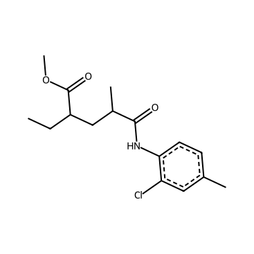 CCC(CC(C)C(=O)Nc1ccc(C)cc1Cl)C(=O)OC